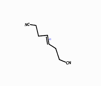 N#CCC/C=C/CCC#N